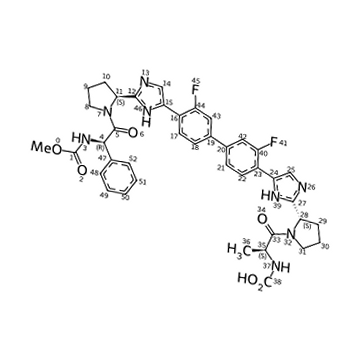 COC(=O)N[C@@H](C(=O)N1CCC[C@H]1c1ncc(-c2ccc(-c3ccc(-c4cnc([C@@H]5CCCN5C(=O)[C@H](C)NC(=O)O)[nH]4)c(F)c3)cc2F)[nH]1)c1ccccc1